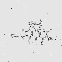 COCOc1c(F)cc2c(c1F)Oc1c(cc(F)c(C)c1F)C21OC(=O)c2ccccc21